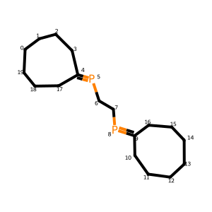 C1CCCC(=PCCP=C2CCCCCCC2)CCC1